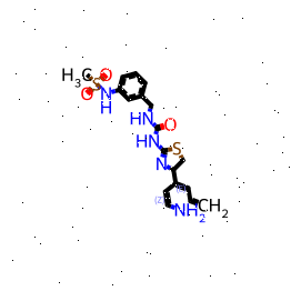 C=C/C=C(\C=C/N)C1CSC(NC(=O)NCc2cccc(NS(C)(=O)=O)c2)=N1